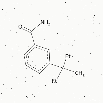 CCC(C)(CC)c1cccc(C(N)=O)c1